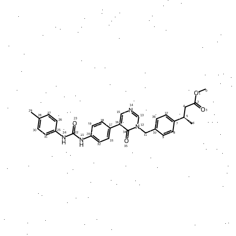 COC(=O)C[C@@H](C)c1ccc(Cn2cncc(-c3ccc(NC(=O)Nc4ccc(C)cc4)cc3)c2=O)cc1